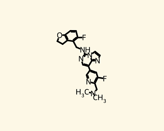 CN(C)Cc1ncc(-c2cnc(NCc3c(F)ccc4c3CCO4)n3ccnc23)cc1F